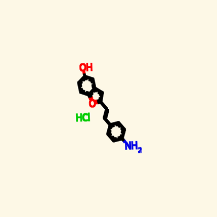 Cl.Nc1ccc(C=Cc2cc3cc(O)ccc3o2)cc1